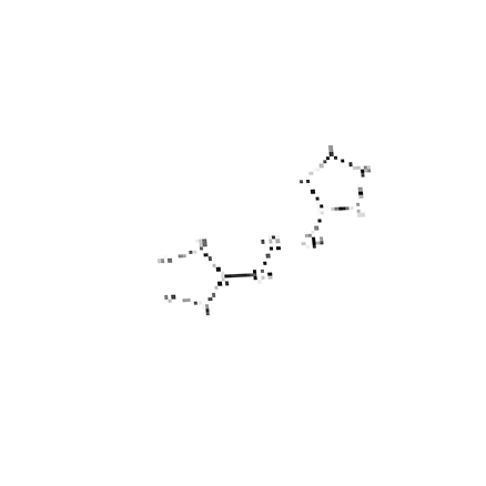 C1CCC(OOOC2CCCC2)C1